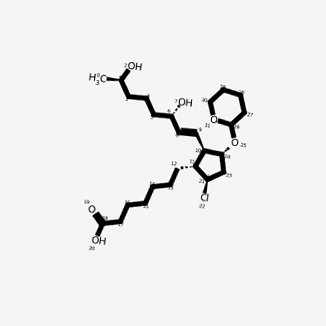 C[C@@H](O)CCC[C@H](O)/C=C/[C@@H]1[C@@H](CCCCCCC(=O)O)[C@H](Cl)C[C@H]1OC1CCCCO1